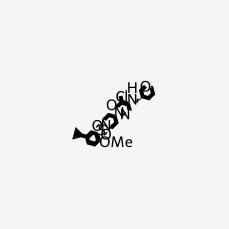 COc1ccc(C2CC2)cc1S(=O)(=O)N1CCC(n2ncc(NC[C@H]3CCCOC3)c(Cl)c2=O)CC1